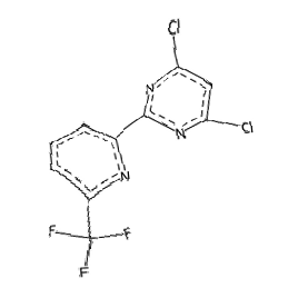 FC(F)(F)c1cccc(-c2nc(Cl)cc(Cl)n2)n1